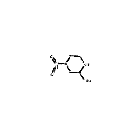 CCCCC1CN([SH](=O)=O)CCN1